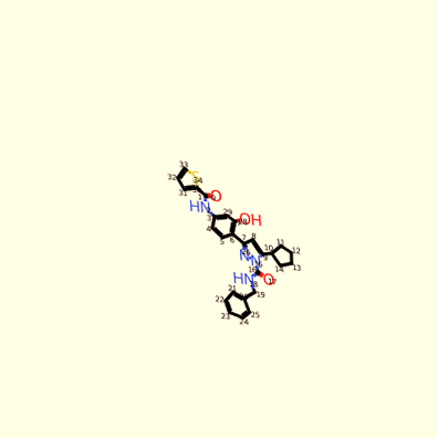 O=C(Nc1ccc(-c2cc(C3CCCC3)n(C(=O)NCc3ccccc3)n2)c(O)c1)c1cccs1